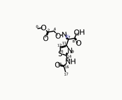 COC(=O)CO/N=C(/C(=O)O)c1csc(NC(C)=O)n1